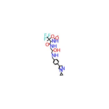 COC(=O)NC(C(=O)NC[C@@H](O)CNCc1ccc(-c2cnn(C3CC3)c2)cc1)C(C)(C)C(F)(F)F